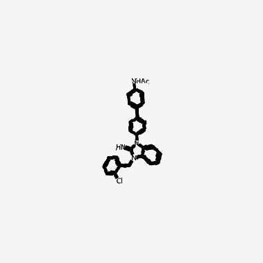 CC(=O)Nc1ccc(-c2ccc(-n3c(=N)n(Cc4ccccc4Cl)c4ccccc43)cc2)cc1